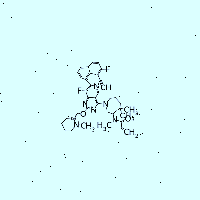 C#Cc1c(F)ccc2cccc(-c3ncc4c(N5CCCC(C)(C)C(N(C)C(=O)C=C)C5)nc(OC[C@@H]5CCCCN5C)nc4c3F)c12